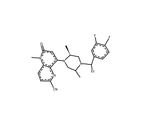 CCC(c1ccc(F)c(F)c1)N1C[C@H](C)N(c2cc(=O)n(C)c3ccc(C#N)nc23)CC1C